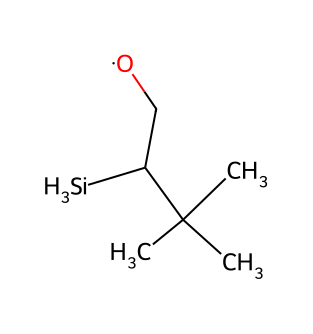 CC(C)(C)C([SiH3])C[O]